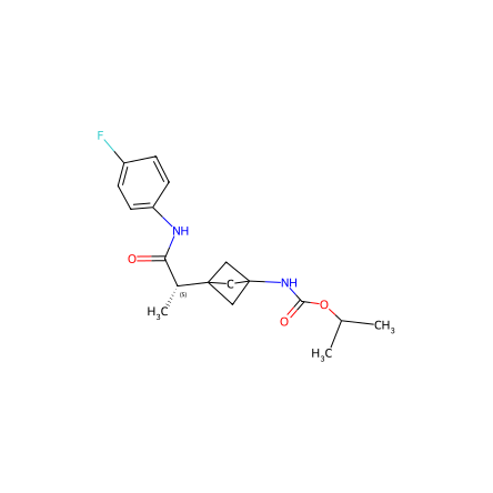 CC(C)OC(=O)NC12CC([C@H](C)C(=O)Nc3ccc(F)cc3)(C1)C2